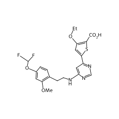 CCOc1cc(-c2cc(NCCc3ccc(OC(F)F)cc3OC)ncn2)sc1C(=O)O